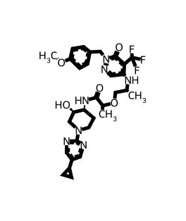 COc1ccc(Cn2ncc(N[C@@H](C)COC(C)C(=O)N[C@@H]3CCN(c4ncc(C5CC5)cn4)C[C@H]3O)c(C(F)(F)F)c2=O)cc1